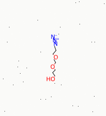 [N-]=[N+]=NCCCOCCOCCCO